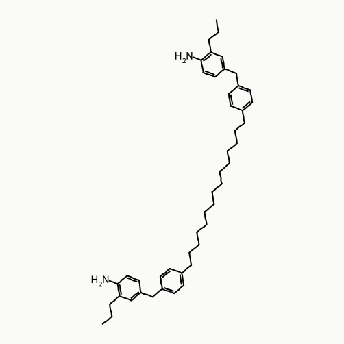 CCCc1cc(Cc2ccc(CCCCCCCCCCCCCCCc3ccc(Cc4ccc(N)c(CCC)c4)cc3)cc2)ccc1N